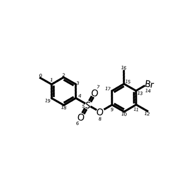 Cc1ccc(S(=O)(=O)Oc2cc(C)c(Br)c(C)c2)cc1